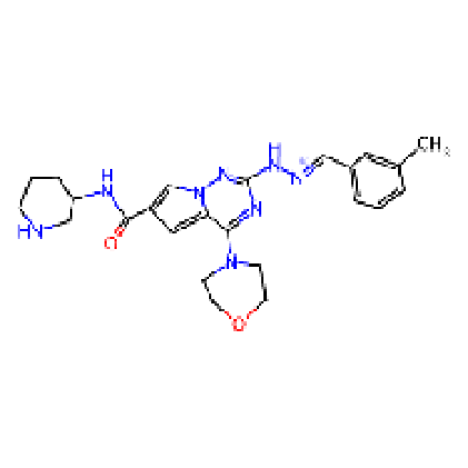 Cc1cccc(/C=N/Nc2nc(N3CCOCC3)c3cc(C(=O)NC4CCCNC4)cn3n2)c1